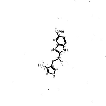 COc1ccc2[nH]c([S+]([O-])Cc3cocc3C)nc2c1